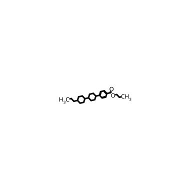 CCCOC(=O)c1ccc(C2CCC(C3CCC(CCC)CC3)CC2)cc1